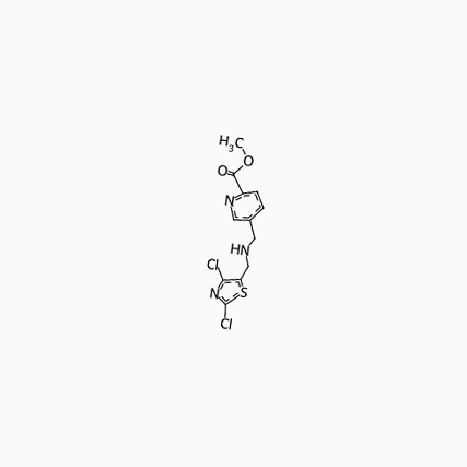 COC(=O)c1ccc(CNCc2sc(Cl)nc2Cl)cn1